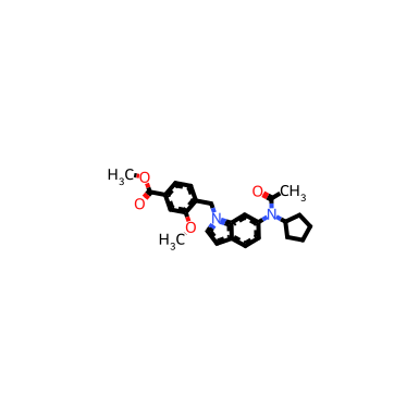 COC(=O)c1ccc(Cn2ccc3ccc(N(C(C)=O)C4CCCC4)cc32)c(OC)c1